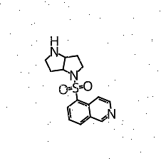 O=S(=O)(c1cccc2cnccc12)N1CCC2NCCC21